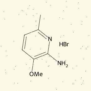 Br.COc1ccc(C)nc1N